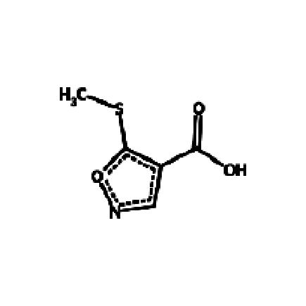 CSc1oncc1C(=O)O